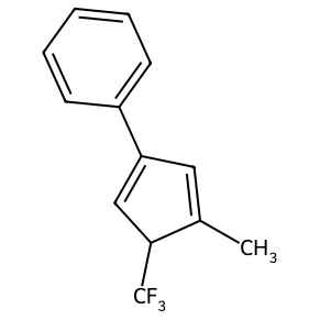 CC1=CC(c2ccccc2)=CC1C(F)(F)F